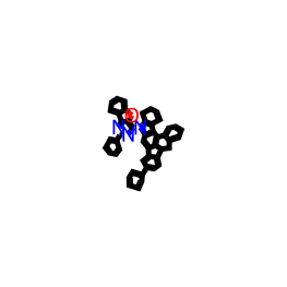 C1=Cc2c(n(-c3nc(-c4ccccc4)nc4c3oc3ccccc34)c3cc4c5c(c23)-c2ccccc2CC5c2ccc(-c3ccccc3)cc2-4)CC1